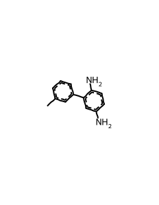 Cc1cccc(-c2cc(N)ccc2N)c1